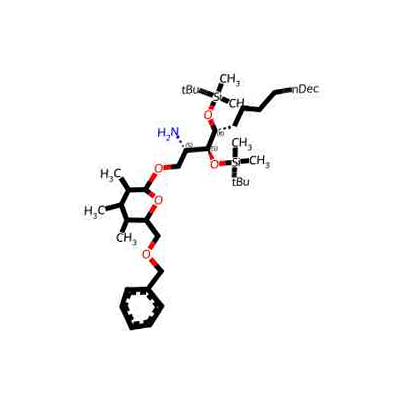 CCCCCCCCCCCCCC[C@@H](O[Si](C)(C)C(C)(C)C)[C@@H](O[Si](C)(C)C(C)(C)C)[C@@H](N)COC1OC(COCc2ccccc2)C(C)C(C)C1C